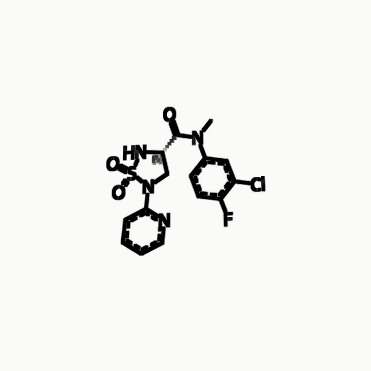 CN(C(=O)[C@@H]1CN(c2ccccn2)S(=O)(=O)N1)c1ccc(F)c(Cl)c1